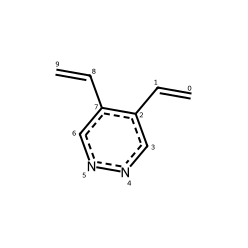 C=Cc1cnncc1C=C